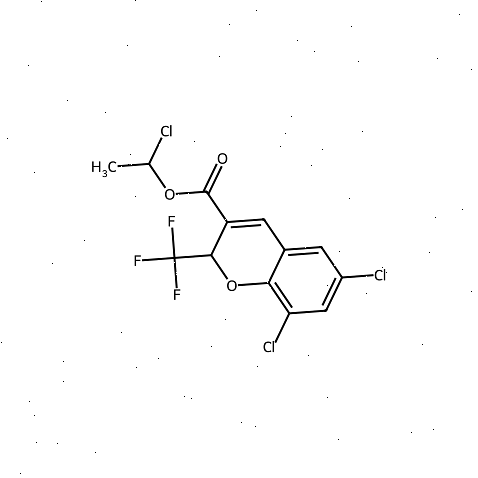 CC(Cl)OC(=O)C1=Cc2cc(Cl)cc(Cl)c2OC1C(F)(F)F